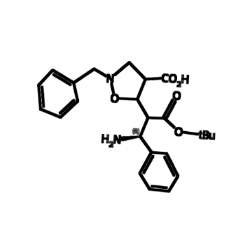 CC(C)(C)OC(=O)C(C1ON(Cc2ccccc2)CC1C(=O)O)[C@H](N)c1ccccc1